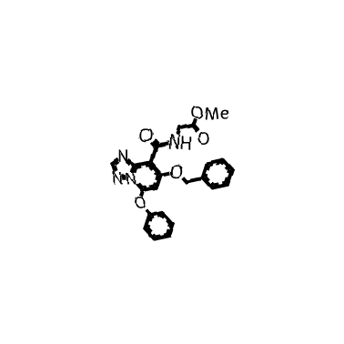 COC(=O)CNC(=O)c1c(OCc2ccccc2)cc(Oc2ccccc2)n2ncnc12